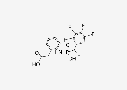 O=C(O)Cc1ccccc1NP(=O)(O)C(F)c1cc(F)c(F)c(F)c1F